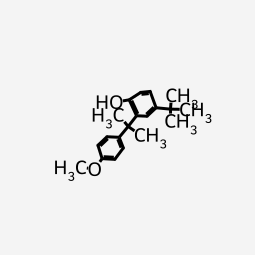 COc1ccc(C(C)(C)c2cc(C(C)(C)C)ccc2O)cc1